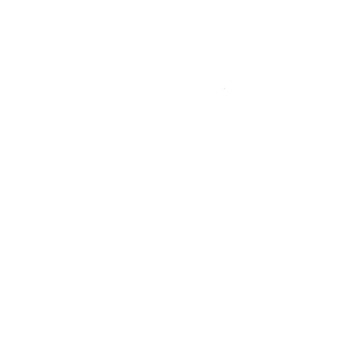 CCCCCCCC(=O)OC(C)c1ccc(O)cc1